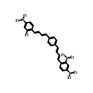 CCc1cc(N(CC)CC)ccc1C=CC=Cc1ccc(C=CC=Cc2ccc(N(CC)CC)cc2N(CC)CC)cc1